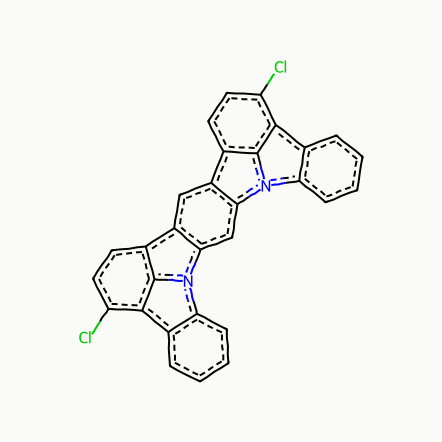 Clc1ccc2c3cc4c5ccc(Cl)c6c7ccccc7n(c4cc3n3c4ccccc4c1c23)c56